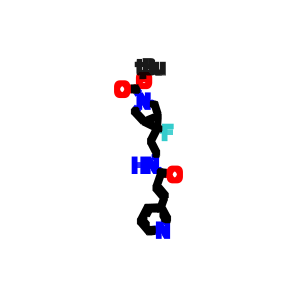 CC(C)(C)OC(=O)N1CC2C(C1)C2(F)CCNC(=O)/C=C/c1cccnc1